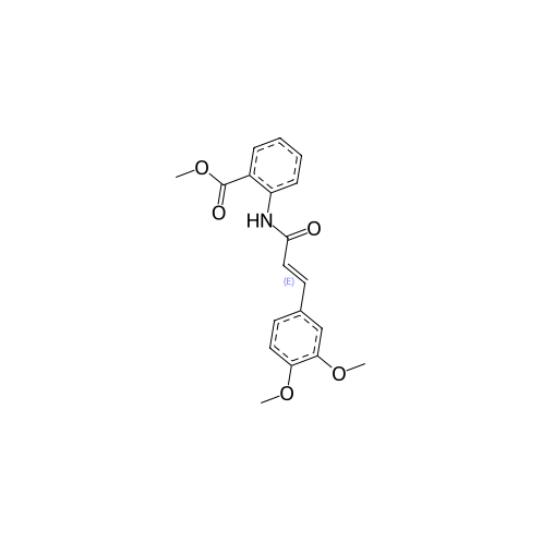 COC(=O)c1ccccc1NC(=O)/C=C/c1ccc(OC)c(OC)c1